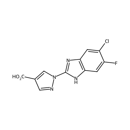 O=C(O)c1cnn(-c2nc3cc(Cl)c(F)cc3[nH]2)c1